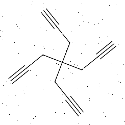 C#CCC(CC#C)(CC#C)CC#C